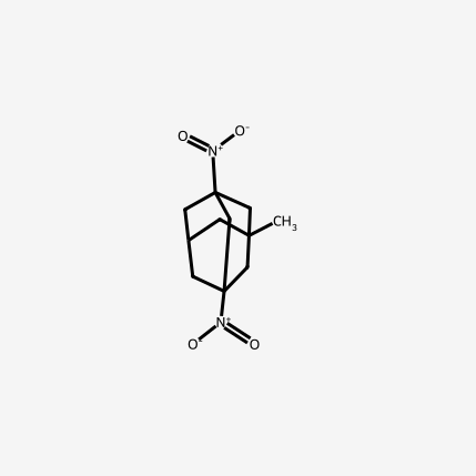 CC12CC3CC([N+](=O)[O-])(C1)CC([N+](=O)[O-])(C3)C2